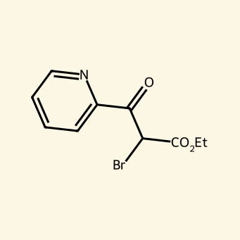 CCOC(=O)C(Br)C(=O)c1ccccn1